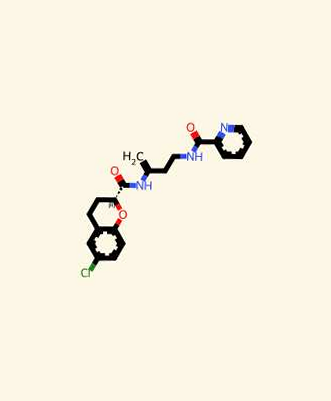 C=C(CCNC(=O)c1ccccn1)NC(=O)[C@H]1CCc2cc(Cl)ccc2O1